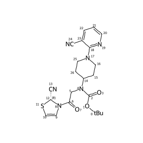 CC(C)(C)OC(=O)N(CC(=O)N1C=CS[C@@H]1C#N)C1CCN(c2ncccc2C#N)CC1